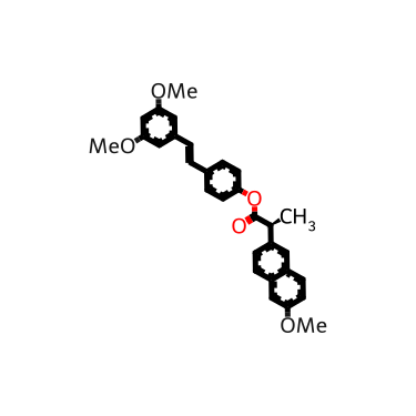 COc1cc(/C=C/c2ccc(OC(=O)[C@@H](C)c3ccc4cc(OC)ccc4c3)cc2)cc(OC)c1